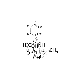 C[C@@H]1O[C@@]1(N[C@H](C)c1ccccc1)P(=O)(O)O